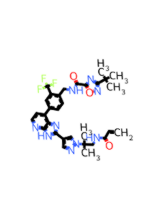 C=CC(=O)NCC(C)(C)n1cc(-c2nc3c(-c4ccc(CNC(=O)c5nc(C(C)(C)C)no5)c(C(F)(F)F)c4)ccnc3[nH]2)cn1